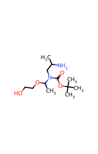 CC(N)CN(C(=O)OC(C)(C)C)C(C)OCCO